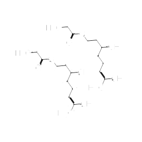 CCC(=O)OCCC(C)CCC=C(C)C.CCC(=O)OCCC(C)CCC=C(C)C